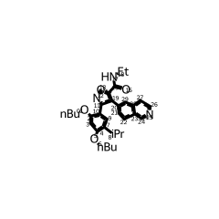 CCCCOc1cc(OCCCC)c(C(C)C)cc1-c1noc(C(=O)NCC)c1-c1ccc2cnccc2c1